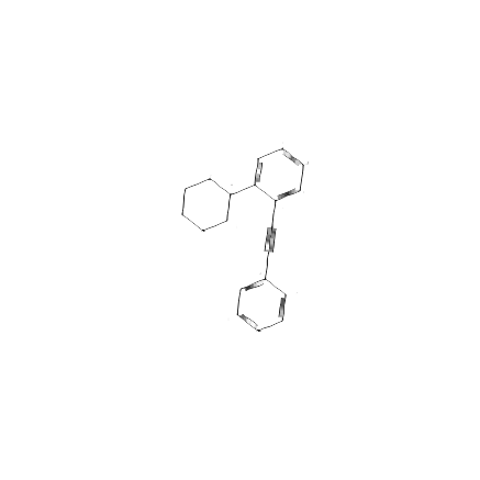 C(#Cc1ccccc1C1CCCCC1)c1ccccc1